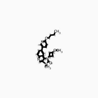 CCCCOc1ccc(-c2ccc3ncc4c(c3c2)n(C2CC(OC)C2)c(=O)n4C)cn1